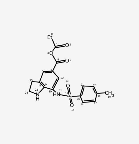 CCC(=O)OC(=O)c1cc2c(c(NS(=O)(=O)c3ccc(C)cc3)c1)NCC2